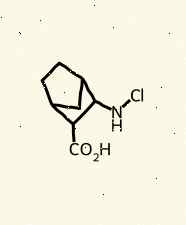 O=C(O)C1C2CCC(C2)C1NCl